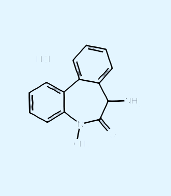 CN1C(=O)C(N)c2ccccc2-c2ccccc21.Cl